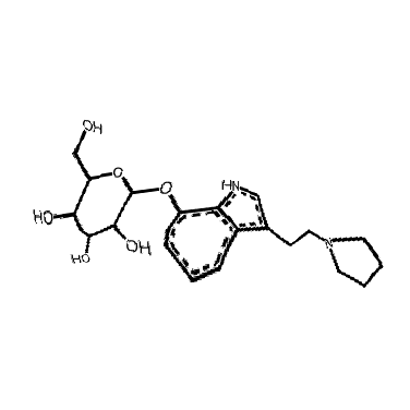 OCC1OC(Oc2cccc3c(CCN4CCCC4)c[nH]c23)C(O)C(O)C1O